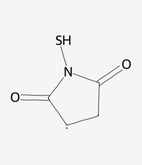 O=C1[CH]CC(=O)N1S